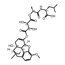 COc1ccc2c3c1O[C@@H]1C(OC(=O)[C@H](O)[C@@H](O)C(=O)O[C@@H](C)C(=O)N[C@@H](CC(C)C)C(=O)O)=CC[C@]4(O)[C@H](C2)N(C)CC[C@@]314